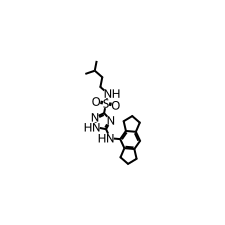 CC(C)CCNS(=O)(=O)c1n[nH]c(Nc2c3c(cc4c2CCC4)CCC3)n1